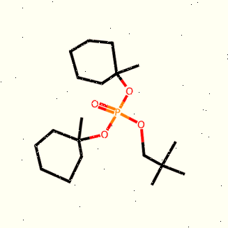 CC(C)(C)COP(=O)(OC1(C)CCCCC1)OC1(C)CCCCC1